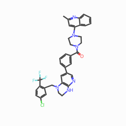 Cc1cc(N2CCN(C(=O)c3cccc(-c4cnc5c(c4)N(Cc4cc(Cl)ccc4C(F)(F)F)CCN5)c3)CC2)c2ccccc2n1